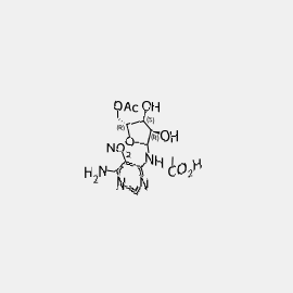 CC(=O)O.CC(=O)OC[C@H]1OC(Nc2ncnc(N)c2[N+](=O)[O-])[C@H](O)[C@@H]1O